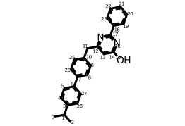 CC(C)c1ccc(-c2ccc(Cc3cc(O)nc(-c4ccccc4)n3)cc2)cc1